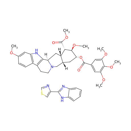 COC(=O)[C@H]1[C@H]2C[C@@H]3c4[nH]c5cc(OC)ccc5c4CCN3C[C@H]2C[C@@H](OC(=O)c2cc(OC)c(OC)c(OC)c2)[C@@H]1OC.c1ccc2[nH]c(-c3cscn3)nc2c1